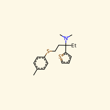 CCC(CCSc1ccc(C)cc1)(c1cccs1)N(C)C